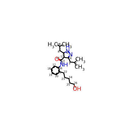 CC(C)CC1=NNC(CC(C)C)C1C(=O)Nc1ccccc1CCCCCO